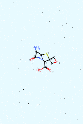 NC1C(=O)N2C1SC1(COC1)C2C(=O)O